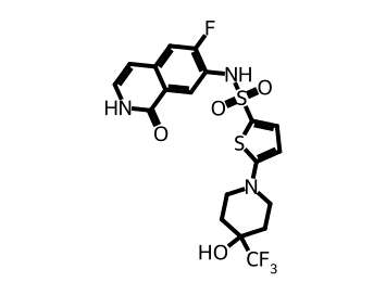 O=c1[nH]ccc2cc(F)c(NS(=O)(=O)c3ccc(N4CCC(O)(C(F)(F)F)CC4)s3)cc12